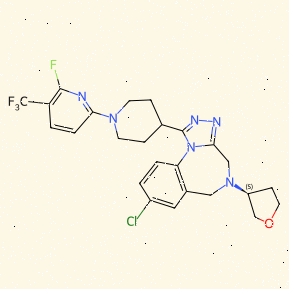 Fc1nc(N2CCC(c3nnc4n3-c3ccc(Cl)cc3CN([C@H]3CCOC3)C4)CC2)ccc1C(F)(F)F